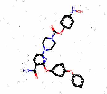 NC(=O)c1ccc(N2CCN(C(=O)Oc3ccc(NO)cc3)CC2)nc1Oc1ccc(Oc2ccccc2)cc1